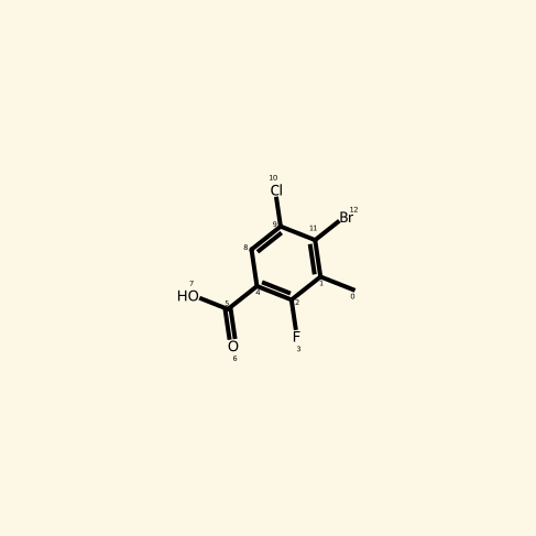 Cc1c(F)c(C(=O)O)cc(Cl)c1Br